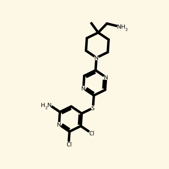 CC1(CN)CCN(c2cnc(Sc3cc(N)nc(Cl)c3Cl)cn2)CC1